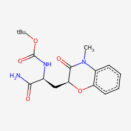 CN1C(=O)[C@H](C[C@H](NC(=O)OC(C)(C)C)C(N)=O)Oc2ccccc21